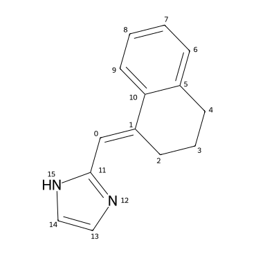 C(=C1CCCc2ccccc21)c1ncc[nH]1